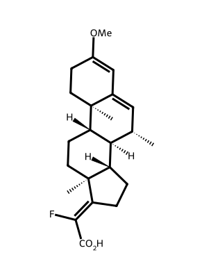 COC1=CC2=C[C@H](C)[C@@H]3[C@H](CC[C@]4(C)C(=C(F)C(=O)O)CC[C@@H]34)[C@@]2(C)CC1